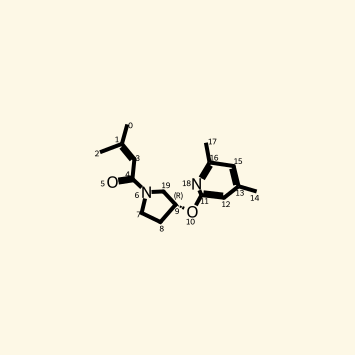 CC(C)=CC(=O)N1CC[C@@H](Oc2cc(C)cc(C)n2)C1